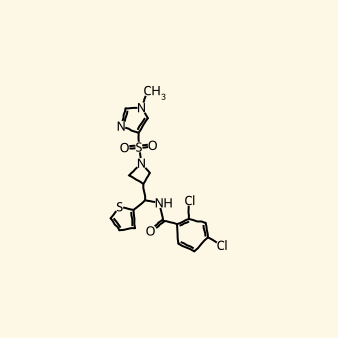 Cn1cnc(S(=O)(=O)N2CC(C(NC(=O)c3ccc(Cl)cc3Cl)c3cccs3)C2)c1